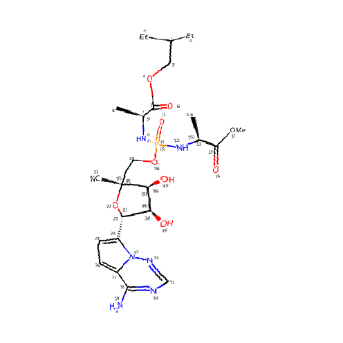 CCC(CC)COC(=O)[C@H](C)N[P@](=O)(N[C@@H](C)C(=O)OC)OC[C@@]1(C#N)O[C@@H](c2ccc3c(N)ncnn23)[C@H](O)[C@@H]1O